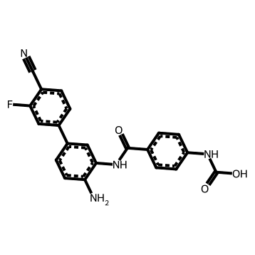 N#Cc1ccc(-c2ccc(N)c(NC(=O)c3ccc(NC(=O)O)cc3)c2)cc1F